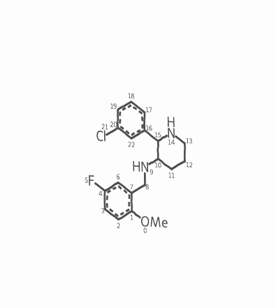 COc1ccc(F)cc1CNC1CCCNC1c1cccc(Cl)c1